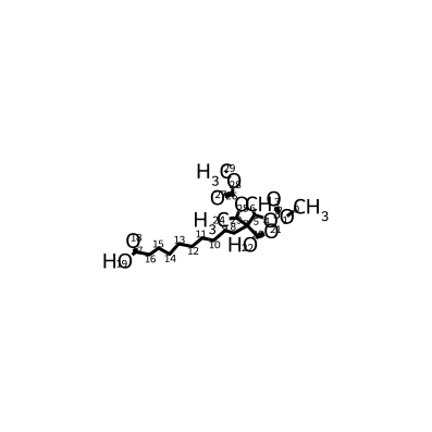 COC(=O)OC(C)C(CCCCCCCCCC(=O)O)(C(=O)O)C(C)OC(=O)OC